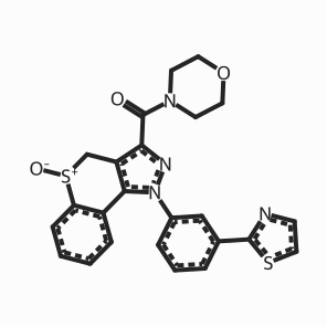 O=C(c1nn(-c2cccc(-c3nccs3)c2)c2c1C[S+]([O-])c1ccccc1-2)N1CCOCC1